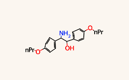 CCCOc1ccc(C(N)C(O)c2ccc(OCCC)cc2)cc1